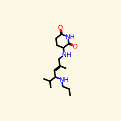 CCCNC(/C=C(\C)CNC1CCC(=O)NC1=O)C(C)C